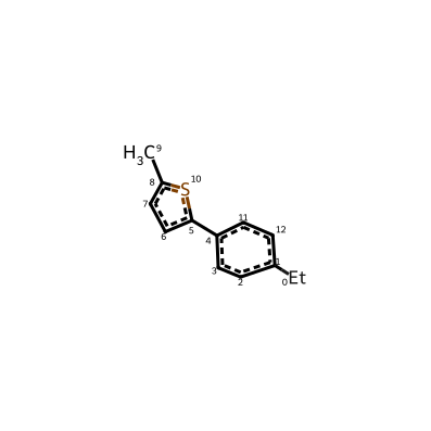 CCc1ccc(-c2ccc(C)s2)cc1